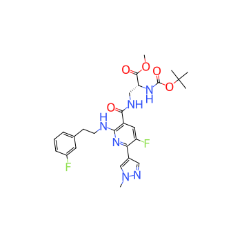 COC(=O)[C@@H](CNC(=O)c1cc(F)c(-c2cnn(C)c2)nc1NCCc1cccc(F)c1)NC(=O)OC(C)(C)C